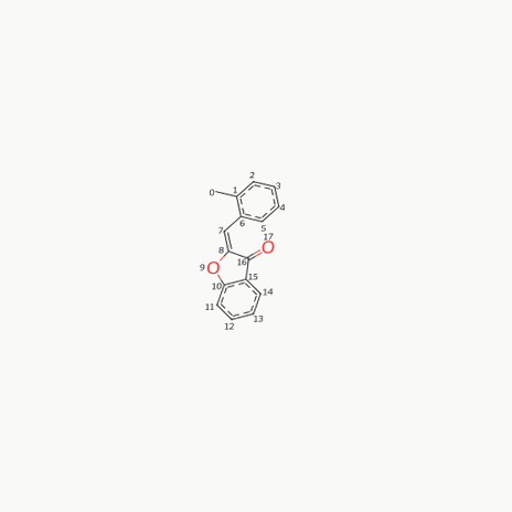 Cc1ccccc1C=C1Oc2ccccc2C1=O